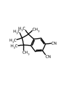 CC1(C)c2cc(C#N)c(C#N)cc2C(C)(C)C1(C)C